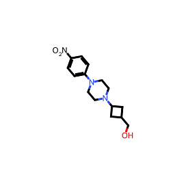 O=[N+]([O-])c1ccc(N2CCN(C3CC(CO)C3)CC2)cc1